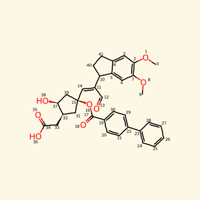 COc1cc2c(cc1OC)C(C(C=O)=C[C@]1(OC(=O)c3ccc(-c4ccccc4)cc3)C[C@@H](CC(=O)O)[C@@H](O)C1)CC2